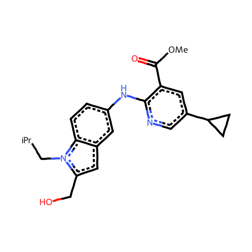 COC(=O)c1cc(C2CC2)cnc1Nc1ccc2c(c1)cc(CO)n2CC(C)C